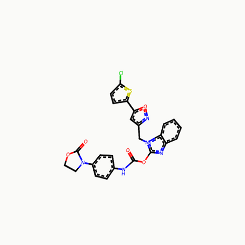 O=C(Nc1ccc(N2CCOC2=O)cc1)Oc1nc2ccccc2n1Cc1cc(-c2ccc(Cl)s2)on1